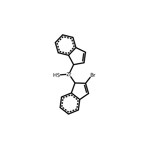 [SH][Zr]([CH]1C=Cc2ccccc21)[CH]1C(Br)=Cc2ccccc21